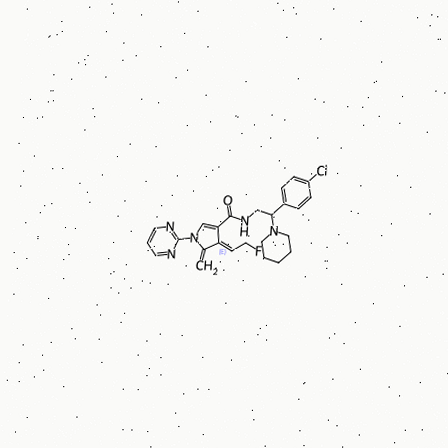 C=c1/c(=C/CF)c(C(=O)NCC(c2ccc(Cl)cc2)N2CCCCC2)cn1-c1ncccn1